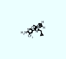 Nc1ncc(-c2cn([C@]34C5[C@@H]3[C@@H]4CN5C3COC3)c(CC3CC3)n2)cc1C(F)(F)F